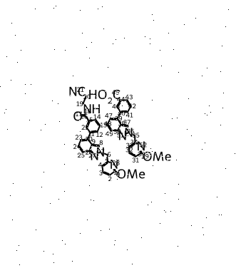 COc1cccc(Cn2cc3c(-c4cccc(C(=O)NCCC#N)c4)cccc3n2)n1.COc1cccc(Cn2cc3c(-c4cccc(C(=O)O)c4)cccc3n2)n1